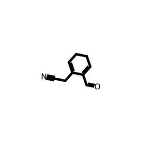 N#CCC1=CCCC=C1C=O